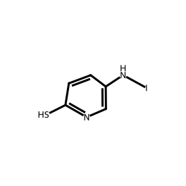 Sc1ccc(NI)cn1